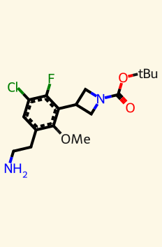 COc1c(CCN)cc(Cl)c(F)c1C1CN(C(=O)OC(C)(C)C)C1